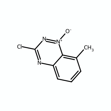 Cc1cccc2nc(Cl)n[n+]([O-])c12